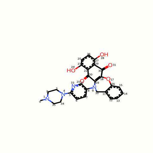 CN1CCN(c2ccc(N3Cc4ccccc4OC4=C3C(=O)c3c(O)ccc(O)c3C4=O)cn2)CC1